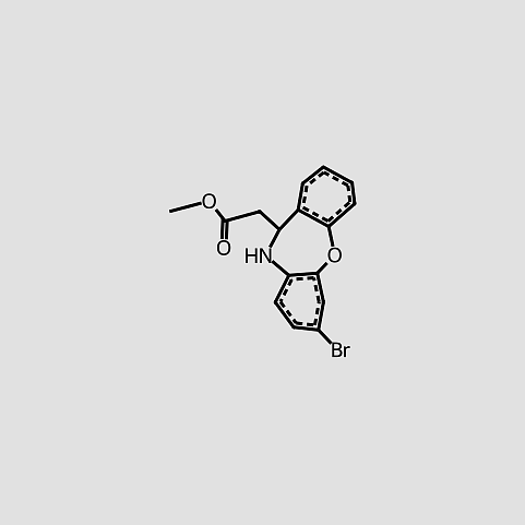 COC(=O)CC1Nc2ccc(Br)cc2Oc2ccccc21